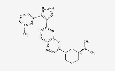 Cc1cccc(-c2n[nH]cc2-c2ccc3ncc(N4CCC[C@H](N(C)C)C4)cc3n2)n1